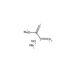 Br.C=CC(=O)OC.Cl